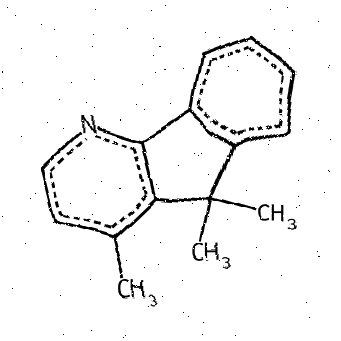 Cc1ccnc2c1C(C)(C)c1ccccc1-2